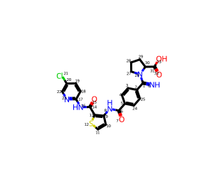 N=C(c1ccc(C(=O)Nc2ccsc2C(=O)Nc2ccc(Cl)cn2)cc1)N1CCCC1C(=O)O